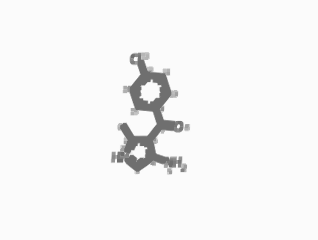 Cc1[nH]cc(N)c1C(=O)c1ccc(Cl)cc1